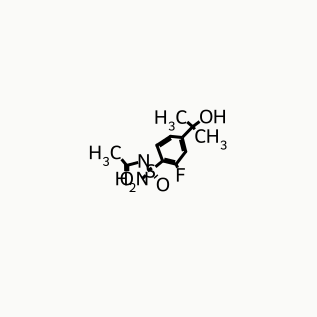 CC(=O)N=S(N)(=O)c1ccc(C(C)(C)O)cc1F